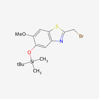 COc1cc2sc(CBr)nc2cc1O[Si](C)(C)C(C)(C)C